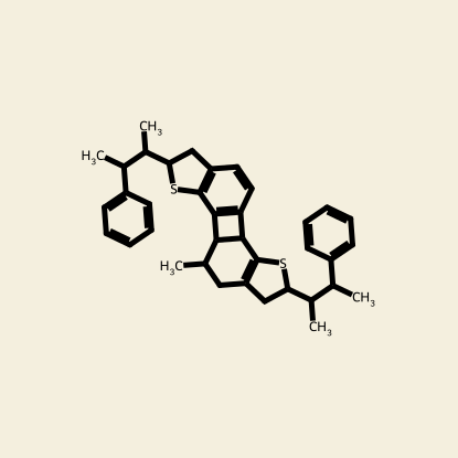 CC1CC2=C(SC(C(C)C(C)c3ccccc3)C2)C2c3ccc4c(c3C12)SC(C(C)C(C)c1ccccc1)C4